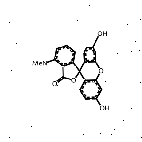 [CH2]Nc1cccc2c1C(=O)OC21c2ccc(O)cc2Oc2cc(O)ccc21